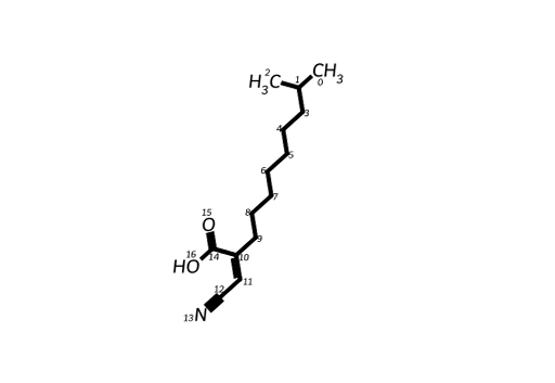 CC(C)CCCCCCCC(=CC#N)C(=O)O